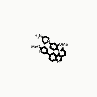 COc1ccc(-c2ccc3ncc4ccc(=O)n(-c5ccc(N6CCC(N)CC6)cc5OC)c4c3c2)cn1